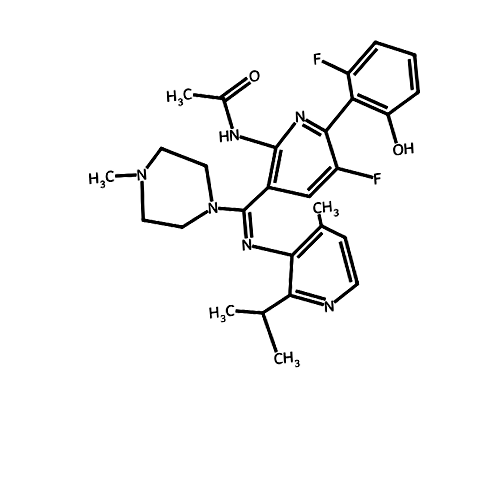 CC(=O)Nc1nc(-c2c(O)cccc2F)c(F)cc1/C(=N\c1c(C)ccnc1C(C)C)N1CCN(C)CC1